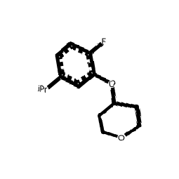 CC(C)c1ccc(F)c(OC2CCOCC2)c1